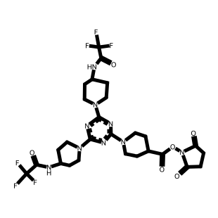 O=C(ON1C(=O)CCC1=O)C1CCN(c2nc(N3CCC(NC(=O)C(F)(F)F)CC3)nc(N3CCC(NC(=O)C(F)(F)F)CC3)n2)CC1